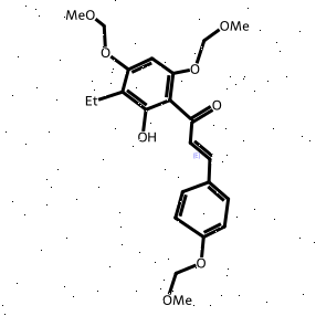 CCc1c(OCOC)cc(OCOC)c(C(=O)/C=C/c2ccc(OCOC)cc2)c1O